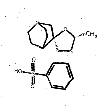 C[C@H]1O[C@]2(CS1)CN1CCC2CC1.O=S(=O)(O)c1ccccc1